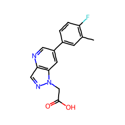 Cc1cc(-c2cnc3cnn(CC(=O)O)c3c2)ccc1F